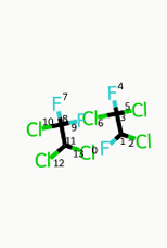 FC(Cl)C(F)(Cl)Cl.FC(F)(Cl)C(Cl)Cl